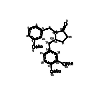 COc1cccc(CN2C(=O)CC[C@H]2Cc2ccc(OC)c(OC)c2)c1